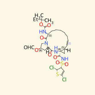 CCC(C)(C)OC(=O)N[C@H]1CCCCC/C=C\[C@@H]2C[C@@]2(C(=O)NS(=O)(=O)C2C=C(Cl)SC2Cl)NC(=O)[C@@H]2C[C@@H](OC=O)CN2C1=O